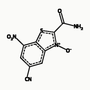 N#Cc1cc([N+](=O)[O-])c2sc(C(N)=O)[n+]([O-])c2c1